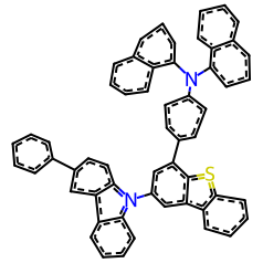 c1ccc(-c2ccc3c(c2)c2ccccc2n3-c2cc(-c3ccc(N(c4cccc5ccccc45)c4cccc5ccccc45)cc3)c3sc4ccccc4c3c2)cc1